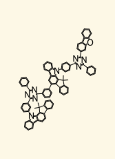 CC1(C)c2ccccc2-c2ccc3c4ccccc4n(-c4cccc(-c5nc(-c6ccccc6)nc(-c6cccc(-c7cc8c9ccccc9n(-c9ccc(-c%10nc(-c%11ccccc%11)nc(-c%11ccc%12c(c%11)oc%11ccccc%11%12)n%10)cc9)c8c8c7-c7ccccc7C8(C)C)c6)n5)c4)c3c21